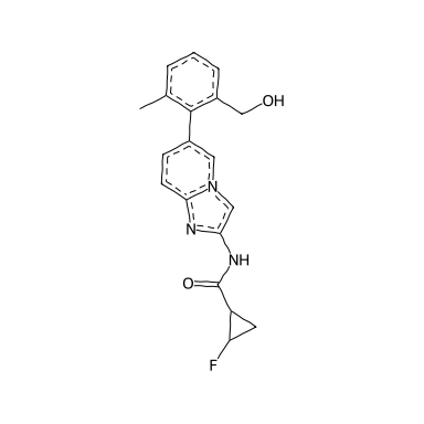 Cc1cccc(CO)c1-c1ccc2nc(NC(=O)C3CC3F)cn2c1